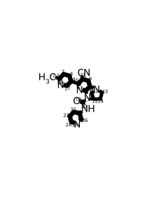 Cc1ccc(-c2nc3c(cc2C#N)N2CCC(C2)N3C(=O)Nc2cccnc2)cn1